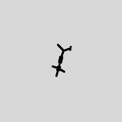 CC(I)C#C[Si](C)(C)C